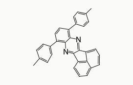 Cc1ccc(-c2ccc(-c3ccc(C)cc3)c3nc4c(nc23)-c2cccc3cccc-4c23)cc1